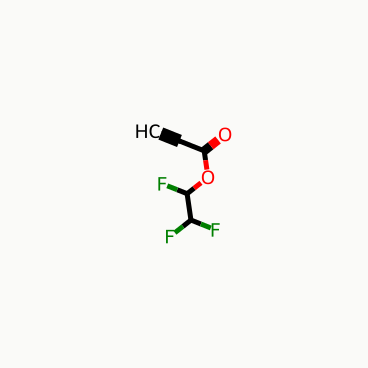 C#CC(=O)OC(F)C(F)F